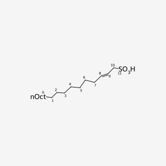 CCCCCCCCCCCCCCC/C=C/CS(=O)(=O)O